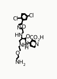 NCCOCCNCC(NCc1ncc(-c2cc(Cl)ccc2Cl)o1)C(=O)Nc1ccncc1C(=O)O